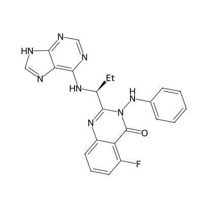 CC[C@H](Nc1ncnc2[nH]cnc12)c1nc2cccc(F)c2c(=O)n1Nc1ccccc1